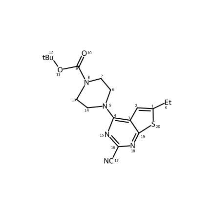 CCc1cc2c(N3CCN(C(=O)OC(C)(C)C)CC3)nc(C#N)nc2s1